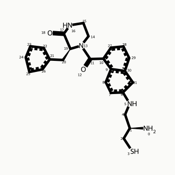 N[C@@H](CS)CNc1ccc2c(C(=O)N3CCNC(=O)[C@@H]3Cc3ccccc3)cccc2c1